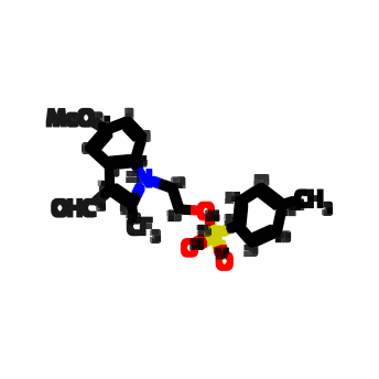 COc1ccc2c(c1)c(C=O)c(C(F)(F)F)n2CCOS(=O)(=O)c1ccc(C)cc1